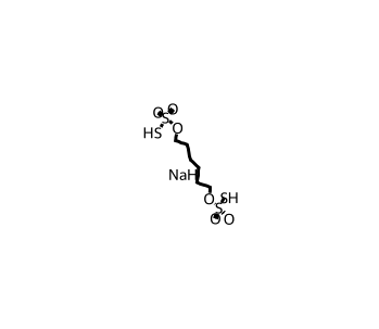 O=S(=O)(S)OCCCCCCOS(=O)(=O)S.[NaH]